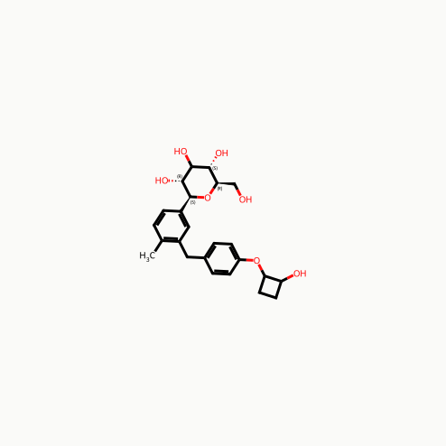 Cc1ccc([C@@H]2O[C@H](CO)[C@@H](O)C(O)[C@H]2O)cc1Cc1ccc(OC2CCC2O)cc1